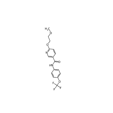 COCCOc1ccc(C(=O)Nc2ccc(OC(F)(F)F)cc2)cn1